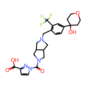 O=C(O)c1ccn(C(=O)N2CC3CN(Cc4ccc(C5(O)CCOCC5)cc4C(F)(F)F)CC3C2)n1